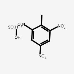 Cc1c([N+](=O)[O-])cc([N+](=O)[O-])cc1[N+](=O)[O-].O=S(=O)(O)O